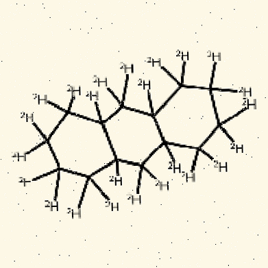 [2H]C1([2H])C([2H])([2H])C([2H])([2H])C2([2H])C([2H])([2H])C3([2H])C([2H])([2H])C([2H])([2H])C([2H])([2H])C([2H])([2H])C3([2H])C([2H])([2H])C2([2H])C1([2H])[2H]